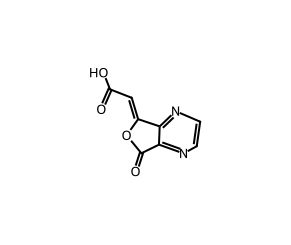 O=C(O)C=C1OC(=O)c2nccnc21